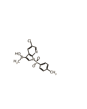 CB(O)c1cn(S(=O)(=O)c2ccc(C)cc2)c2ncc(Cl)cc12